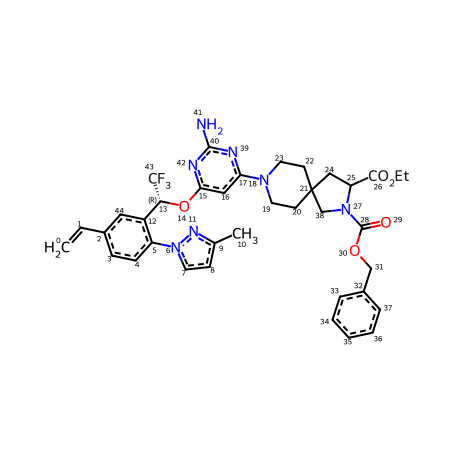 C=Cc1ccc(-n2ccc(C)n2)c([C@@H](Oc2cc(N3CCC4(CC3)CC(C(=O)OCC)N(C(=O)OCc3ccccc3)C4)nc(N)n2)C(F)(F)F)c1